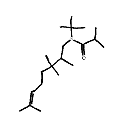 CC(C)=CCCC(C)(C)C(C)CN(C(=O)C(C)C)C(C)(C)C